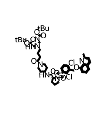 Cc1ccc2cccc(OCc3c(Cl)ccc(S(=O)(=O)N4CCC[C@H]4C(=O)NC4CCN(C(=O)CCCN(C=NC(=O)OC(C)(C)C)NC(=O)OC(C)(C)C)CC4)c3Cl)c2n1